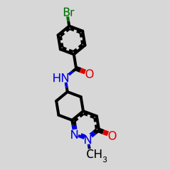 Cn1nc2c(cc1=O)CC(NC(=O)c1ccc(Br)cc1)CC2